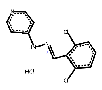 Cl.Clc1cccc(Cl)c1/C=N/Nc1ccncc1